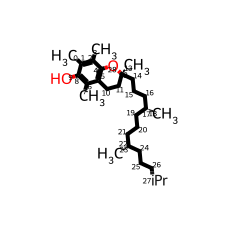 Cc1c(C)c2c(c(C)c1O)CC[C@](C)(CCC[C@H](C)CCC[C@@H](C)CCCC(C)C)O2